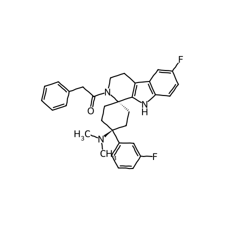 CN(C)[C@]1(c2cccc(F)c2)CC[C@@]2(CC1)c1[nH]c3ccc(F)cc3c1CCN2C(=O)Cc1ccccc1